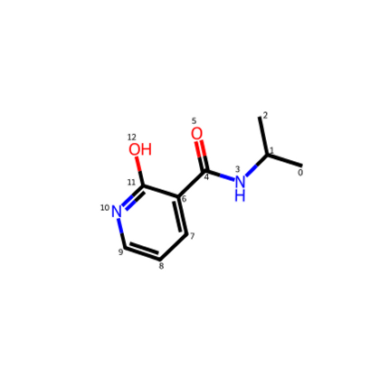 CC(C)NC(=O)c1cccnc1O